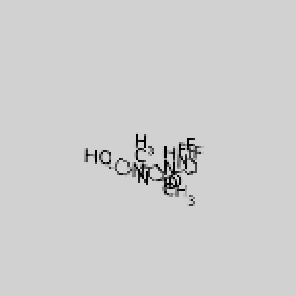 COc1cc2nn([C@H]3CC[C@H](CO)CC3)c(C)c2cc1NC(=O)c1cccc(C(F)(F)F)n1